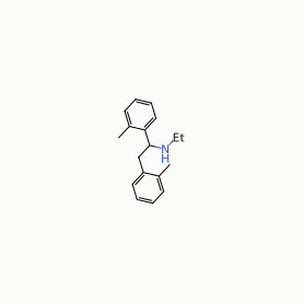 CCNC(Cc1ccccc1C)c1ccccc1C